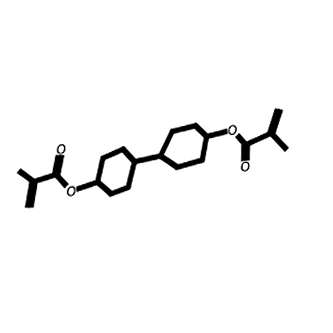 C=C(C)C(=O)OC1CCC(C2CCC(OC(=O)C(=C)C)CC2)CC1